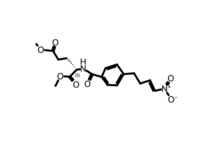 COC(=O)CC[C@H](NC(=O)c1ccc(CCC=C[N+](=O)[O-])cc1)C(=O)OC